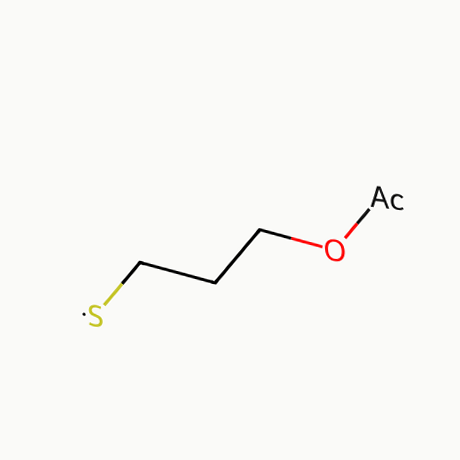 CC(=O)OCCC[S]